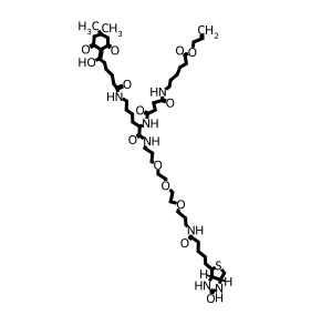 C=CCOC(=O)CCCCCNC(=O)CCC(=O)NC(CCCCNC(=O)CCCCC(O)=C1C(=O)CC(C)(C)CC1=O)C(=O)NCCCOCCOCCOCCCNC(=O)CCCCC1SC[C@@H]2NC(=O)N[C@H]12